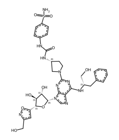 NS(=O)(=O)c1ccc(NC(=O)N[C@@H]2CCN(c3nc(N[C@H](CO)Cc4ccccc4)c4ncn([C@@H]5O[C@H](c6cc(CO)no6)[C@@H](O)[C@@H]5O)c4n3)C2)cc1